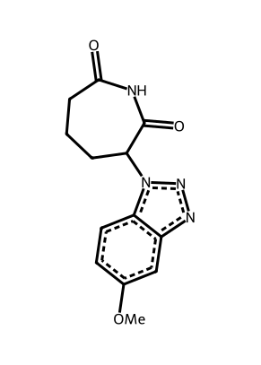 COc1ccc2c(c1)nnn2C1CCCC(=O)NC1=O